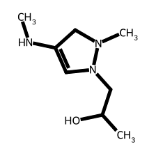 CNC1=CN(CC(C)O)N(C)C1